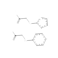 O=C(O)CNc1ccccc1.O=C(O)CNc1cccs1